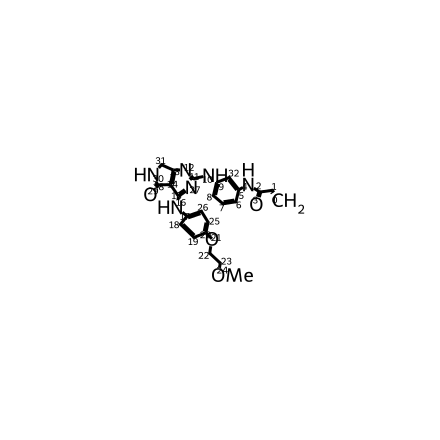 C=CC(=O)Nc1cccc(Nc2nc3c(c(Nc4ccc(OCCOC)cc4)n2)C(=O)NC3)c1